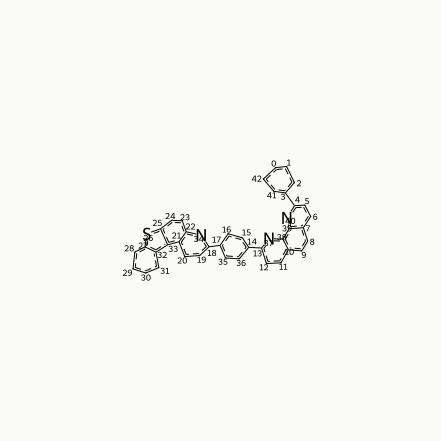 c1ccc(-c2ccc3ccc4ccc(-c5ccc(-c6ccc7c(ccc8sc9ccccc9c87)n6)cc5)nc4c3n2)cc1